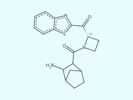 NC1C2CCC(C2)C1C(=O)N1CC[C@H]1C(=O)c1nc2ccccc2s1